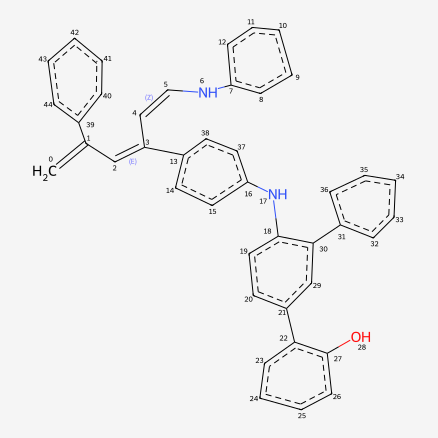 C=C(/C=C(\C=C/Nc1ccccc1)c1ccc(Nc2ccc(-c3ccccc3O)cc2-c2ccccc2)cc1)c1ccccc1